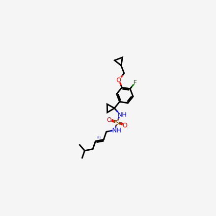 CC(C)C/C=C/CNS(=O)(=O)NC1(c2ccc(F)c(OCC3CC3)c2)CC1